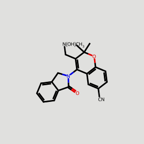 CN(O)CC1=C(N2Cc3ccccc3C2=O)c2cc(C#N)ccc2OC1(C)C